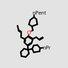 C=CCc1cc(C2(C3CCC(CCC)CC3)CCCCC2)cc(CC=CC)c1OCC1CCC(CCCCC)CC1